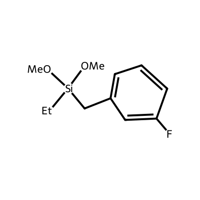 CC[Si](Cc1cccc(F)c1)(OC)OC